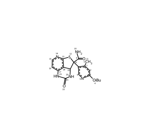 Cc1cc(OCC(C)C)ncc1C1(C(N)=O)Sc2nccc3c2C1NC(=O)N3